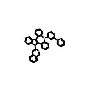 c1ccc(-c2cccc(N3c4ccccc4-c4c(n(-c5cc6ccccc6cn5)c5ccccc45)-c4ccccc43)c2)nc1